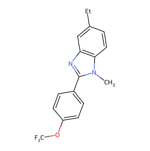 CCc1ccc2c(c1)nc(-c1ccc(OC(F)(F)F)cc1)n2C